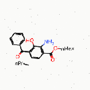 CCCC.CCCCCCOC(=O)c1ccc(C(=O)c2ccccc2)c(O)c1N